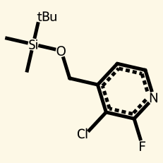 CC(C)(C)[Si](C)(C)OCc1ccnc(F)c1Cl